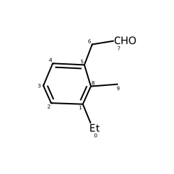 CCc1cccc(CC=O)c1C